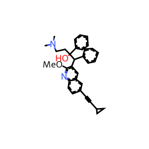 COc1nc2ccc(C#CC3CC3)cc2cc1C(c1ccccc1)C(O)(CCN(C)C)c1ccccc1